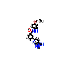 CCCCOc1ccc(NC(=O)c2cccc(-c3ccc4[nH]nnc4n3)c2)cc1